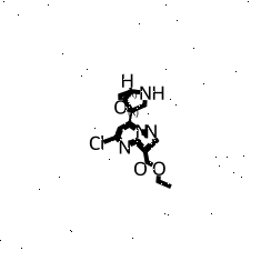 CCOC(=O)c1cnn2c([C@@]34CN[C@@H](CO3)C4)cc(Cl)nc12